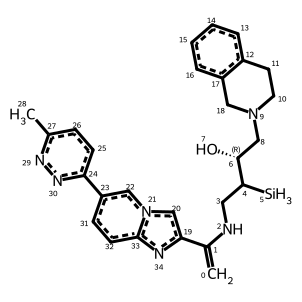 C=C(NCC([SiH3])[C@H](O)CN1CCc2ccccc2C1)c1cn2cc(-c3ccc(C)nn3)ccc2n1